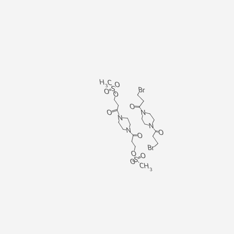 CS(=O)(=O)OCCC(=O)N1CCN(C(=O)CCOS(C)(=O)=O)CC1.O=C(CCBr)N1CCN(C(=O)CCBr)CC1